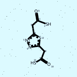 O=C(S)Cc1nnc(CC(=O)S)s1